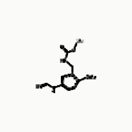 COc1ccc(NC=N)cc1CNC(=O)OC(C)(C)C